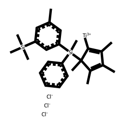 CC1=C(C)C(C)([Si](C)(c2ccccc2)c2cc(C)cc([Si](C)(C)C)c2)[C]([Ti+3])=C1C.[Cl-].[Cl-].[Cl-]